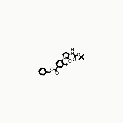 CC(C)(C)OC(=O)N[C@H]1CCN(c2ccc(C(=O)OCc3ccccc3)cc2F)C1=O